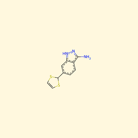 Nc1n[nH]c2cc(C3SC=CS3)ccc12